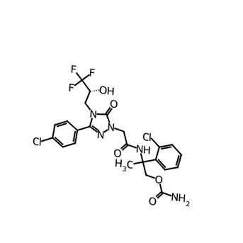 CC(COC(N)=O)(NC(=O)Cn1nc(-c2ccc(Cl)cc2)n(C[C@@H](O)C(F)(F)F)c1=O)c1ccccc1Cl